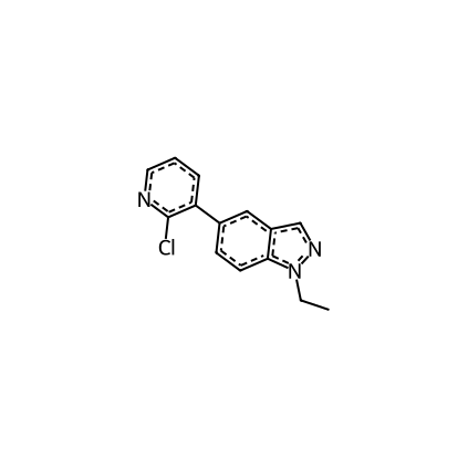 CCn1ncc2cc(-c3cccnc3Cl)ccc21